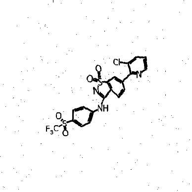 O=S1(=O)N=C(Nc2ccc(S(=O)(=O)C(F)(F)F)cc2)c2ccc(-c3ncccc3Cl)cc21